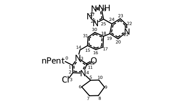 CCCCCc1c(Cl)n(C2CCCCC2)c(=O)n1Cc1ccc(-c2cnccc2-c2nnn[nH]2)cc1